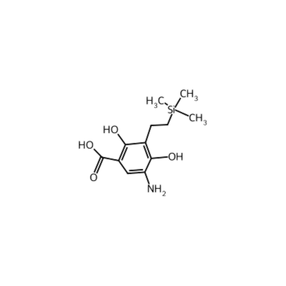 C[Si](C)(C)CCc1c(O)c(N)cc(C(=O)O)c1O